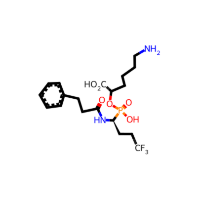 NCCCCC(OP(=O)(O)[C@@H](CCC(F)(F)F)NC(=O)CCc1ccccc1)C(=O)O